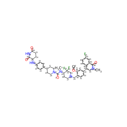 CN(C(=O)N1CCC(c2ccc(NC3CCC(=O)NC3=O)cc2)CC1)C1CCN(Cc2ccc(-c3cn(C)c(=O)c4cc(F)ccc34)cc2OC(F)(F)F)CC1(F)F